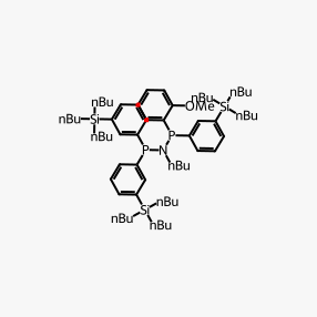 CCCCN(P(c1cccc([Si](CCCC)(CCCC)CCCC)c1)c1cccc([Si](CCCC)(CCCC)CCCC)c1)P(c1cccc([Si](CCCC)(CCCC)CCCC)c1)c1ccccc1OC